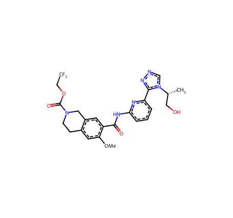 COc1cc2c(cc1C(=O)Nc1cccc(-c3nncn3[C@H](C)CO)n1)CN(C(=O)OCC(F)(F)F)CC2